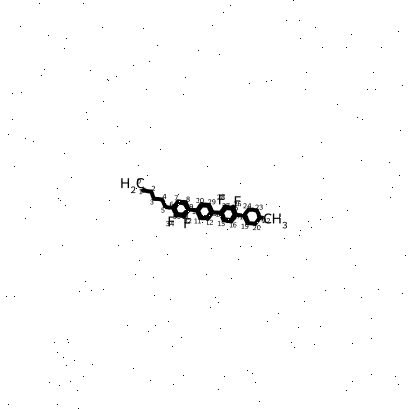 C=CCCCCc1ccc(-c2ccc(-c3ccc(C4=CCC(C)CC4)c(F)c3F)cc2)c(F)c1F